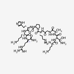 C[C@H](NC(=O)[C@@H](NC(=O)[C@@H](N)CCCN)[C@@H](O)CN)C(=O)NCC(=O)N[C@H](CCCN)C(=O)N1CCC[C@H]1C(=O)N[C@@H](CCc1cnc[nH]1)C(=O)N[C@@H](CCCCN)C(=O)N/C(=C\CCNC(=N)N)C(N)=O